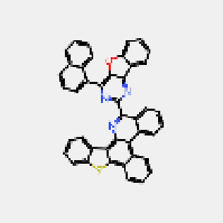 c1ccc2c(-c3nc(-c4nc5c(c6ccccc46)c4ccccc4c4sc6ccccc6c54)nc4c3oc3ccccc34)cccc2c1